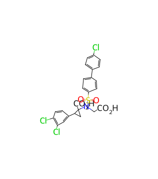 O=C(O)CN(C1(C(=O)O)CC1c1ccc(Cl)c(Cl)c1)S(=O)(=O)c1ccc(-c2ccc(Cl)cc2)cc1